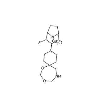 CCOC(=O)N1C2CCC1C(F)C(N1CCC3(CC1)CNCOCO3)C2